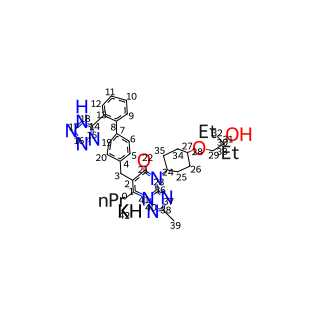 CCCc1c(Cc2ccc(-c3ccccc3-c3nnn[nH]3)cc2)c(=O)n(C2CCC(OCC(O)(CC)CC)CC2)c2nc(C)nn12.[KH]